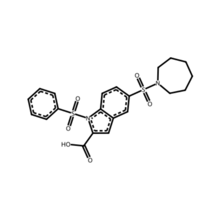 O=C(O)c1cc2cc(S(=O)(=O)N3CCCCCC3)ccc2n1S(=O)(=O)c1ccccc1